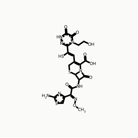 CON=C(C(=O)NC1C(=O)N2C(C(=O)O)=C(C=C(S)c3n[nH]c(=O)c(=O)n3CCO)CSC12)c1csc(N)n1